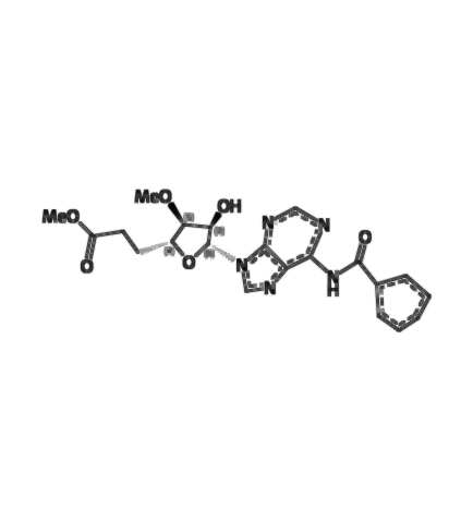 COC(=O)CC[C@H]1O[C@@H](n2cnc3c(NC(=O)c4ccccc4)ncnc32)[C@H](O)[C@@H]1OC